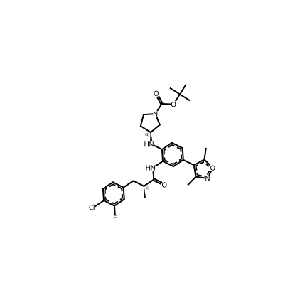 Cc1noc(C)c1-c1ccc(N[C@H]2CCN(C(=O)OC(C)(C)C)C2)c(NC(=O)[C@@H](C)Cc2ccc(Cl)c(F)c2)c1